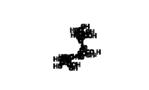 O=C(/C=C/c1ccc2c(c1)OC1(c3ccc(O)c(O)c3)Oc3cc(O)cc(O)c3C(=O)C1(O)O2)O[C@@H]1[C@H](O)C[C@@](O)(C(=O)O)C[C@H]1OC(=O)/C=C/c1ccc2c(c1)OC1(c3ccc(O)c(O)c3)Oc3cc(O)cc(O)c3C(=O)C1(O)O2